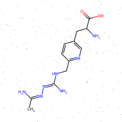 C/C(N)=N/N=C(\N)NCc1ccc(CC(N)C(=O)O)cn1